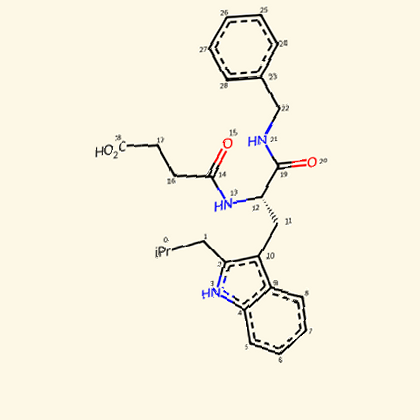 CC(C)Cc1[nH]c2ccccc2c1C[C@H](NC(=O)CCC(=O)O)C(=O)NCc1ccccc1